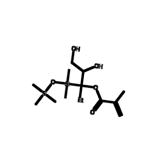 C=C(C)C(=O)OC(CC)(C(O)CO)[Si](C)(C)O[Si](C)(C)C